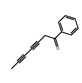 CC#CC#CCC(=O)c1ccccc1